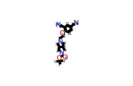 CC(C)(C)OC(=O)N1CC2CN(CCOc3ccc(C#N)cc3C#N)CC2C1